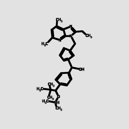 CCc1nc2c(C)cc(C)nc2n1Cc1cccc(C(O)c2ccc(C(O[SiH](C)C)C(C)(C)C)cc2)c1